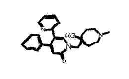 CN1CCC(O)(Cn2cc(-c3ccccn3)c(-c3ccccc3)cc2=O)CC1